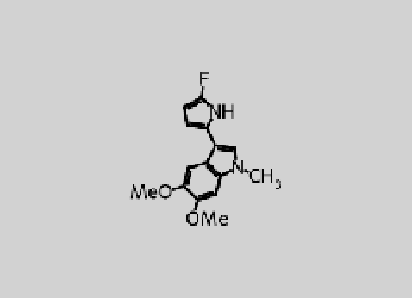 COc1cc2c(-c3ccc(F)[nH]3)cn(C)c2cc1OC